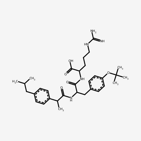 CC(C)Cc1ccc(C(C)C(=O)NC(Cc2ccc(OC(C)(C)C)cc2)C(=O)NC(CCCNC(=N)N)C(=O)O)cc1